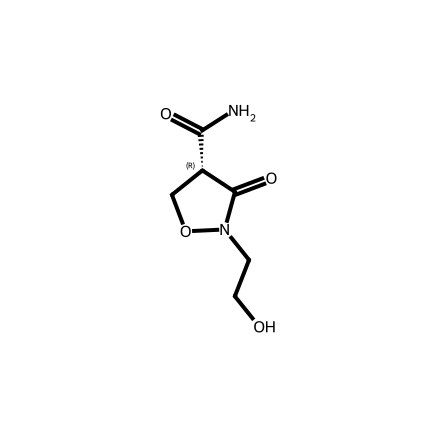 NC(=O)[C@H]1CON(CCO)C1=O